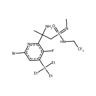 CCS(CC)(CC)c1cc(Br)nc(C(C)(N)CS(=O)(=NC)NCC(F)(F)F)c1F